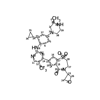 C[C@@H]1CN(c2ccc(Nc3ncc(C(F)(F)F)c(-c4cc5c(s4)C(=O)N(C4COC4)CCS5(=O)=O)n3)c(C3CC3)c2)CCN1